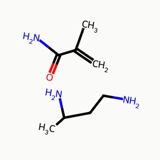 C=C(C)C(N)=O.CC(N)CCN